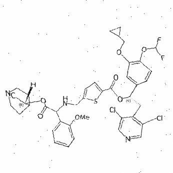 COc1ccccc1C(NCc1ccc(C(=O)O[C@@H](Cc2c(Cl)cncc2Cl)c2ccc(OC(F)F)c(OCC3CC3)c2)s1)C(=O)O[C@H]1CN2CCC1CC2